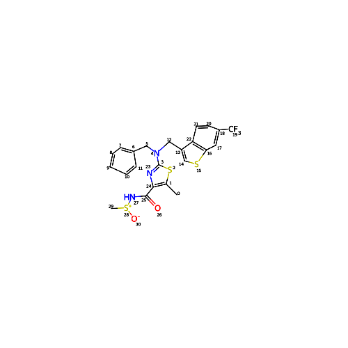 Cc1sc(N(Cc2ccccc2)Cc2csc3cc(C(F)(F)F)ccc23)nc1C(=O)N[S+](C)[O-]